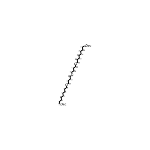 CCCCCCCCCCCCCCCCCCOCCCCOCCCCOCCCCCCCCCCCCCCCCCC